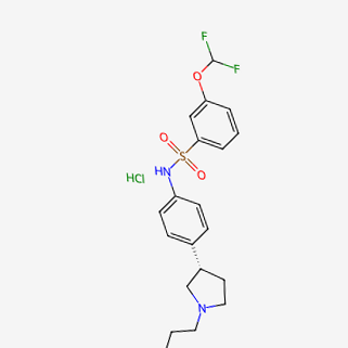 CCCN1CC[C@@H](c2ccc(NS(=O)(=O)c3cccc(OC(F)F)c3)cc2)C1.Cl